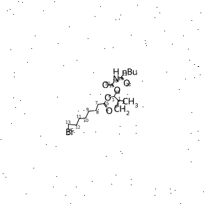 C=C(C)C(OC(=O)CCCCCCCBr)OC(=O)NC(=O)CCCC